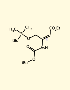 CCOC(=O)/C=C(\CO[Si](C)(C)C(C)(C)C)[AsH]C(=O)OC(C)(C)C